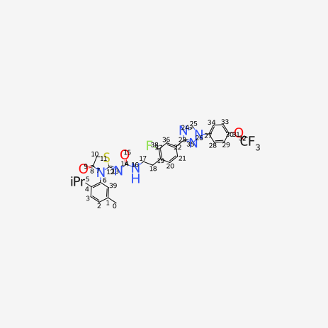 Cc1ccc(C(C)C)c(N2C(=O)CS/C2=N\C(=O)NCCc2ccc(-c3ncn(-c4ccc(OC(F)(F)F)cc4)n3)cc2F)c1